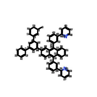 CC1C=C(c2cc(-c3ccccc3)cc(-c3ccc4c(-c5cccc(-c6ccccn6)c5)c5ccccc5c(-c5cccc(-c6ccccn6)c5)c4c3)c2)C=CC1